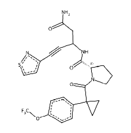 NC(=O)CC(C#Cc1ccsn1)NC(=O)[C@@H]1CCCN1C(=O)C1(c2ccc(OC(F)(F)F)cc2)CC1